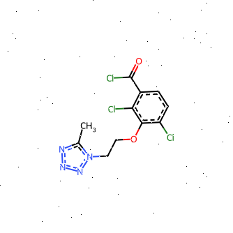 Cc1nnnn1CCOc1c(Cl)ccc(C(=O)Cl)c1Cl